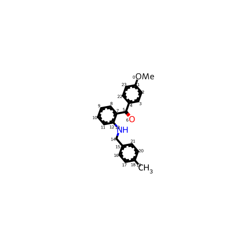 COc1ccc(C(=O)c2ccccc2NCc2ccc(C)cc2)cc1